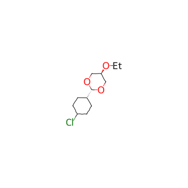 CCO[C@H]1CO[C@H](C2CCC(Cl)CC2)OC1